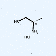 C[C@H](N)CS.Cl